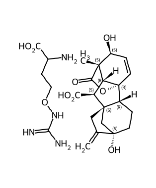 C=C1C[C@]23C[C@@]1(O)CC[C@H]2[C@@]12C=C[C@H](O)[C@@](C)(C(=O)O1)[C@H]2[C@@H]3C(=O)O.N=C(N)NOCCC(N)C(=O)O